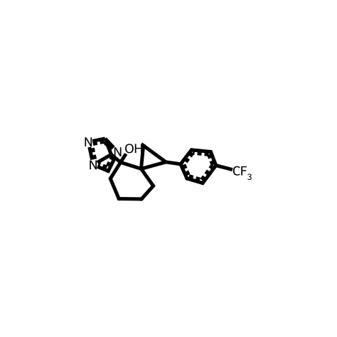 OC1(C2c3ncn2n3)CCCCC12CC2c1ccc(C(F)(F)F)cc1